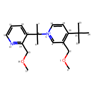 COCc1c[n+](C(C)(C)c2cccnc2COC)ccc1C(C)(C)C